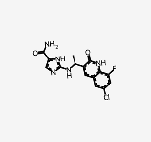 C[C@H](Nc1ncc(C(N)=O)[nH]1)c1cc2cc(Cl)cc(F)c2[nH]c1=O